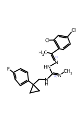 C/N=C(/NCC1(c2ccc(F)cc2)CC1)N/N=C(\C)c1ccc(Cl)cc1Cl